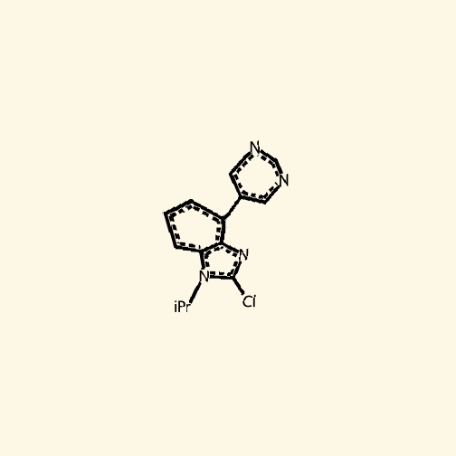 CC(C)n1c(Cl)nc2c(-c3cncnc3)cccc21